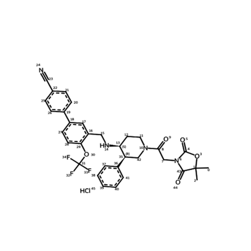 CC1(C)OC(=O)N(CC(=O)N2CC[C@H](NCc3cc(-c4ccc(C#N)cc4)ccc3OC(F)(F)F)[C@H](c3ccccc3)C2)C1=O.Cl